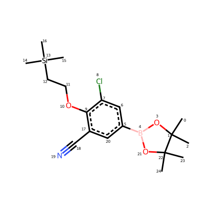 CC1(C)OB(c2cc(Cl)c(OCC[Si](C)(C)C)c(C#N)c2)OC1(C)C